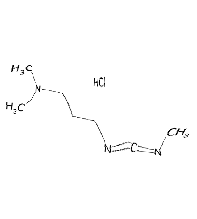 CN=C=NCCCN(C)C.Cl